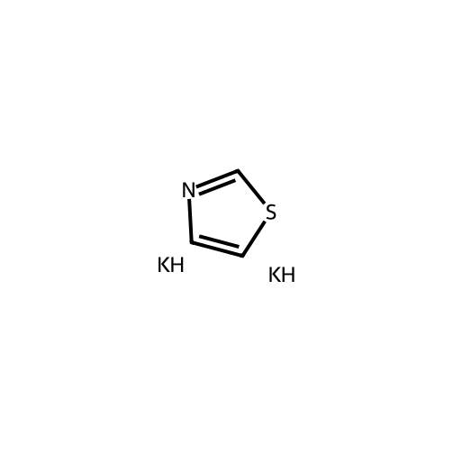 [KH].[KH].c1cscn1